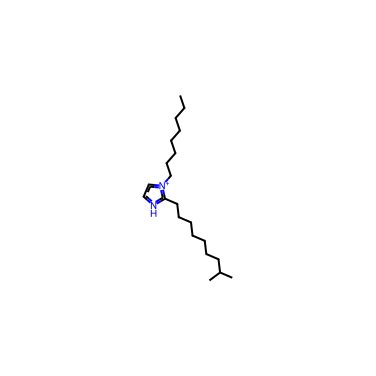 CCCCCCCC[n+]1cc[nH]c1CCCCCCCC(C)C